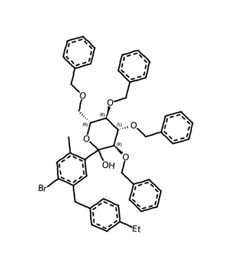 CCc1ccc(Cc2cc(C3(O)O[C@H](COCc4ccccc4)[C@@H](OCc4ccccc4)[C@H](OCc4ccccc4)[C@H]3OCc3ccccc3)c(C)cc2Br)cc1